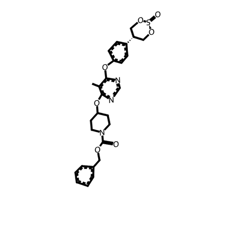 Cc1c(Oc2ccc([C@H]3CO[S@](=O)OC3)cc2)ncnc1OC1CCN(C(=O)OCc2ccccc2)CC1